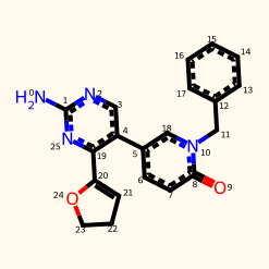 Nc1ncc(-c2ccc(=O)n(Cc3ccccc3)c2)c(C2=CCCO2)n1